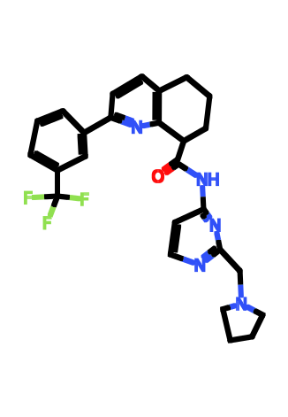 O=C(Nc1ccnc(CN2CCCC2)n1)C1CCCc2ccc(-c3cccc(C(F)(F)F)c3)nc21